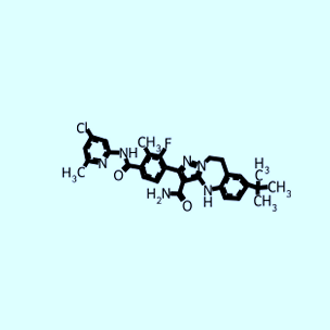 Cc1cc(Cl)cc(NC(=O)c2ccc(-c3nn4c(c3C(N)=O)Nc3ccc(C(C)(C)C)cc3CC4)c(F)c2C)n1